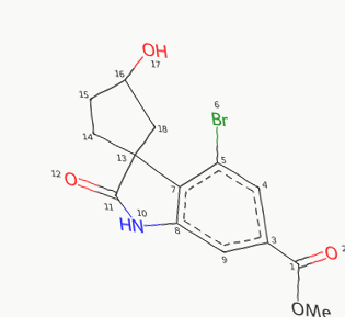 COC(=O)c1cc(Br)c2c(c1)NC(=O)C21CCC(O)C1